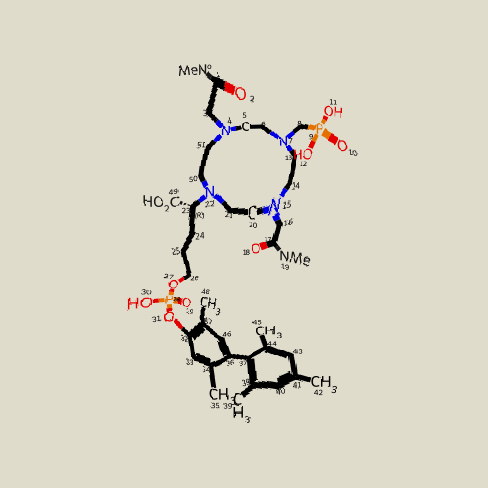 CNC(=O)CN1CCN(CP(=O)(O)O)CCN(CC(=O)NC)CCN([C@H](CCCOP(=O)(O)Oc2cc(C)c(-c3c(C)cc(C)cc3C)cc2C)C(=O)O)CC1